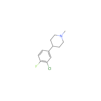 CN1CCC(c2ccc(F)c(Cl)c2)CC1